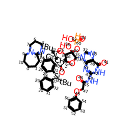 C1CCC2=NCCCN2CC1.CC(C)(C)[Si](C)(C)O[C@@H]1[C@@H](CO[Si](c2ccccc2)(c2ccccc2)C(C)(C)C)O[C@@H](n2cnc3c(=O)[nH]c(NC(=O)COc4ccccc4)nc32)[C@@]1(O)O[PH](=O)O